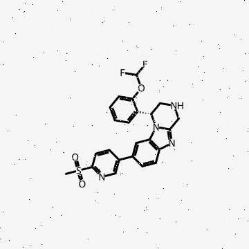 CS(=O)(=O)c1ccc(-c2ccc3nc4n(c3c2)[C@H](c2ccccc2OC(F)F)CNC4)cn1